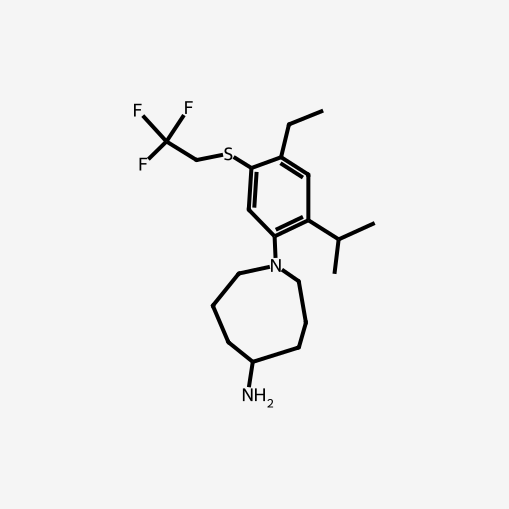 CCc1cc(C(C)C)c(N2CCCC(N)CCC2)cc1SCC(F)(F)F